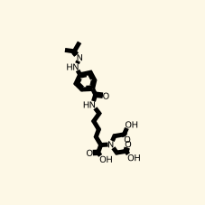 CC(C)=NNc1ccc(C(=O)NCCCCC(C(=O)O)N(CC(=O)O)CC(=O)O)cc1